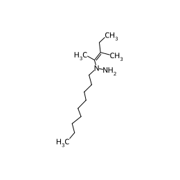 CCCCCCCCCN(N)/C(C)=C(\C)CC